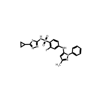 Cc1cc(Nc2ccc(S(=O)(=O)Nc3nnc(C4CC4)s3)c(F)c2)n(-c2ccccc2)n1